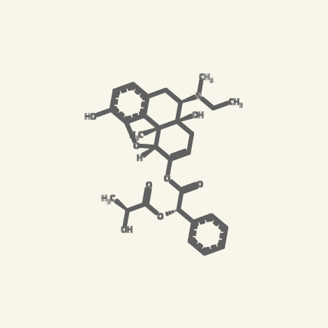 CCN(C)[C@@H]1Cc2ccc(O)c3c2[C@@]2(C)[C@@H](O3)C(OC(=O)[C@@H](OC(=O)[C@H](C)O)c3ccccc3)=CC[C@@]12O